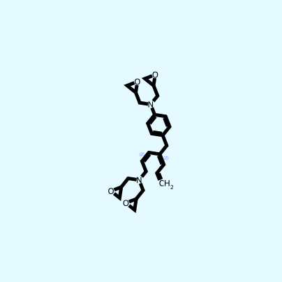 C=C/C=C(\C=C/CN(CC1CO1)CC1CO1)Cc1ccc(N(CC2CO2)CC2CO2)cc1